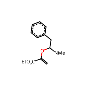 C=C(OC(Cc1ccccc1)NC)C(=O)OCC